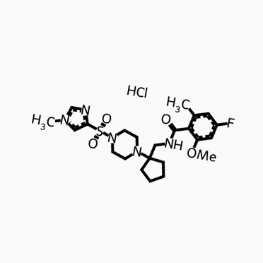 COc1cc(F)cc(C)c1C(=O)NCC1(N2CCN(S(=O)(=O)c3cn(C)cn3)CC2)CCCC1.Cl